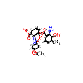 COc1ccc(C(=O)Nc2c(OC(=O)c3ccc(C)c(O)c3N)cccc2C(=O)O)cc1